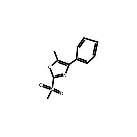 Cc1oc(S(C)(=O)=O)nc1-c1ccccc1